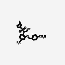 Cc1ccc(S(=O)(=O)N(CC(C)C)c2ccc(C(F)(F)F)cc2OCc2ccc(C(=O)O)cc2)o1